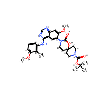 COc1cc2ncnc(Nc3cccc(OC)c3C)c2cc1N1CCC2(CCN(C(=O)OC(C)(C)C)CC2)OC1=O